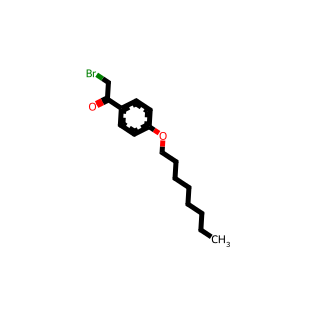 CCCCCCCCOc1ccc(C(=O)CBr)cc1